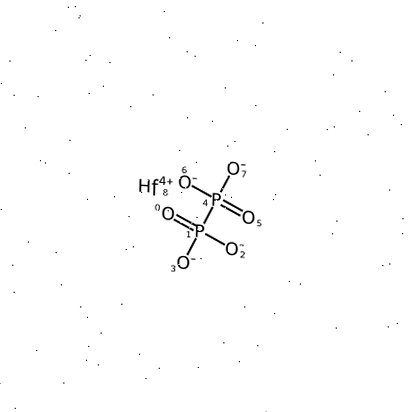 O=P([O-])([O-])P(=O)([O-])[O-].[Hf+4]